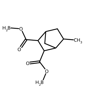 BOC(=O)C1C2CC(C)C(C2)C1C(=O)OB